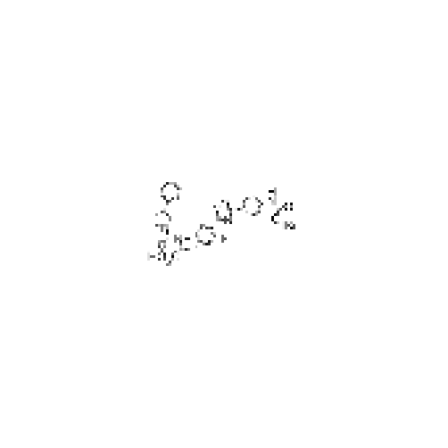 CC(C)(C)OC(=O)Nc1ccc(-c2nc(-c3ccc(CC(NC(=O)N4CCC(c5ccccc5)C4)C(=O)O)cc3F)no2)cc1